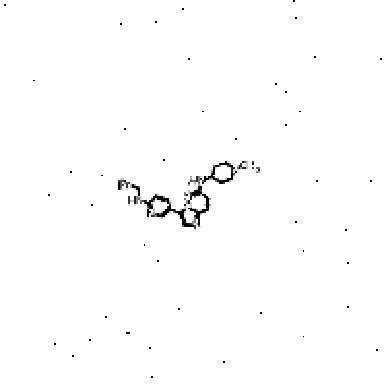 CC(C)CNc1ccc(-c2cnc3ccc(NC4CCN(C)CC4)nn23)cn1